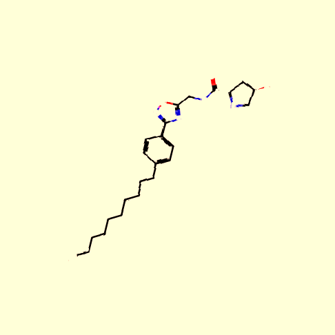 CCCCCCCCCCc1ccc(-c2noc(CNC(=O)[C@@H]3C[C@@H](O)CN3)n2)cc1